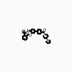 Nc1ccc(-c2ccc(C(=O)N3CCC(N4CCCC4)CC3)cc2)cc1OC1OC(=O)c2ccccc21